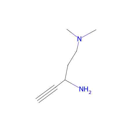 C#CC(N)CCN(C)C